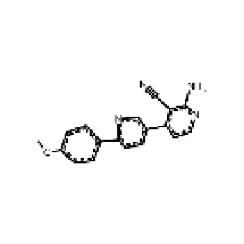 COc1ccc(-c2ccc(-c3ccnc(N)c3C#N)cn2)cc1